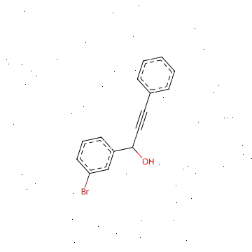 OC(C#Cc1ccccc1)c1cccc(Br)c1